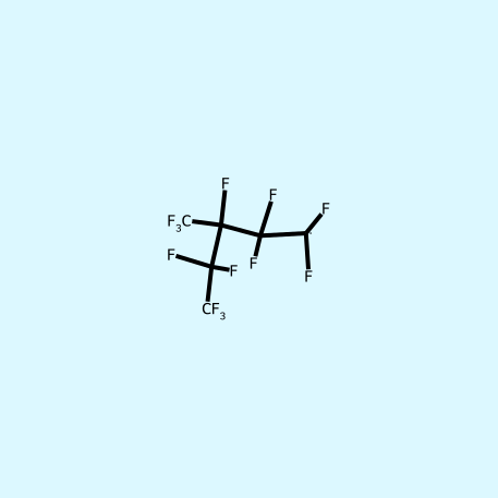 F[C](F)C(F)(F)C(F)(C(F)(F)F)C(F)(F)C(F)(F)F